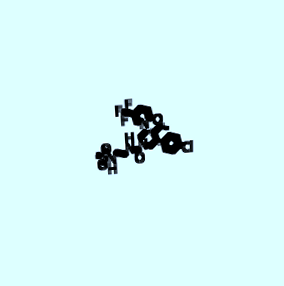 C[C@H](Oc1ccc(C(F)(F)F)cn1)[C@H]1CCN(C(=O)NCCNS(C)(=O)=O)C[C@@H]1c1ccc(Cl)cc1